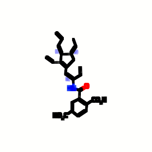 C=C/C=C1C(C=C)=C(/C=C(\C=C)NC(=O)c2cc(C(=O)O)ccc2C(=O)O)CC/1=C/C